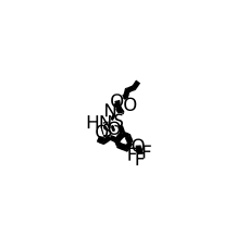 C=CC(c1ccc(OC(F)(F)F)cc1C)S(=O)(=O)Nc1nc(OC(=O)CCC)cs1